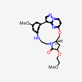 COCCOC1C[C@H]2COc3ccn4ncc(c4n3)-c3cc(cc(OC)c3)NCCN2C1=O